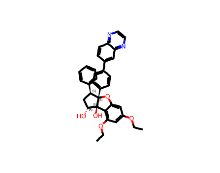 CCOc1cc(OCC)c2c(c1)O[C@@]1(c3ccc(-c4ccc5nccnc5c4)cc3)[C@H](c3ccccc3)C[C@@H](O)[C@@]21O